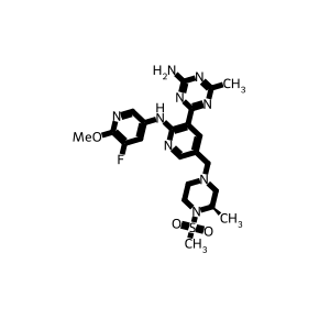 COc1ncc(Nc2ncc(CN3CCN(S(C)(=O)=O)[C@H](C)C3)cc2-c2nc(C)nc(N)n2)cc1F